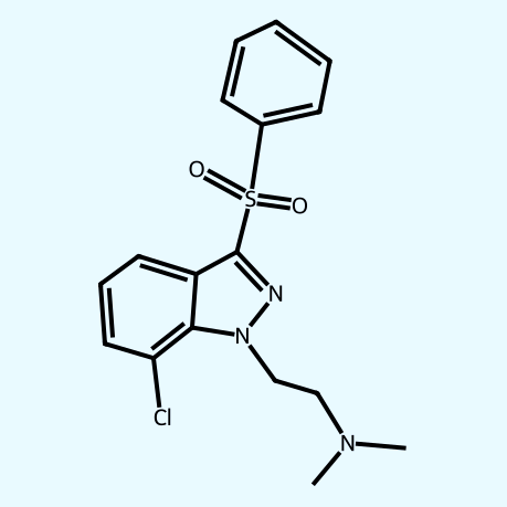 CN(C)CCn1nc(S(=O)(=O)c2ccccc2)c2cccc(Cl)c21